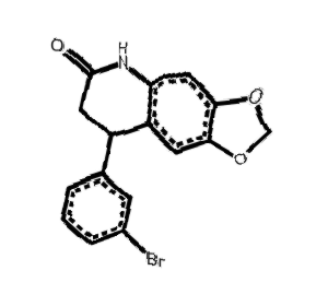 O=C1CC(c2cccc(Br)c2)c2cc3c(cc2N1)OCO3